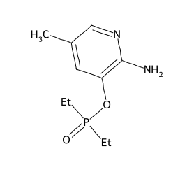 CCP(=O)(CC)Oc1cc(C)cnc1N